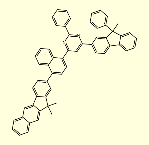 CC1(C)c2cc(-c3ccc(-c4cc(-c5ccc6c(c5)C(C)(c5ccccc5)c5ccccc5-6)nc(-c5ccccc5)n4)c4ccccc34)ccc2-c2cc3ccccc3cc21